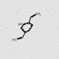 C=Cc1ccc(C=C)cc1.[KH]